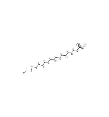 CCCCCCCCCC=CCCCCCCCCC(=O)OC